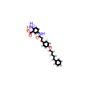 Nc1ccc(NC(=O)CCc2ccc(OCCCCCc3ccccc3)cc2)cc1C(=O)O